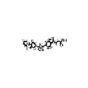 O=C(O)CCn1ncc2cc(-c3noc(-c4ccc(-n5cccc5)c(Cl)c4)n3)ccc21